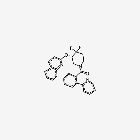 O=C(c1ccccc1-c1ccccn1)N1CCC(F)(F)[C@@H](Oc2ccc3ccccc3n2)C1